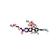 CC#Cc1cc(C)c(C2=C(OC(=O)OC)CC3(CCN(C(=O)COCCOC)CC3)CC2=O)c(C)c1